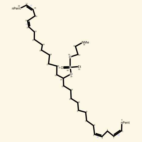 CCCCC/C=C\C/C=C\CCCCCCCCC(CCCCCCCC/C=C\C/C=C\CCCCC)OP(=O)(CC)OCCNC